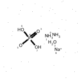 N.N.O.O=P([O-])(O)O.[Na+]